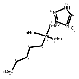 CCCCCCCCCCCCCC[P+](CCCCCC)(CCCCCC)CCCCCC.[Cl-].c1nc[nH]n1